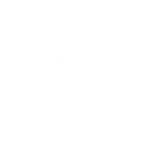 Cc1cc(C)n(-c2ccc(CC(=O)O)cc2)n1